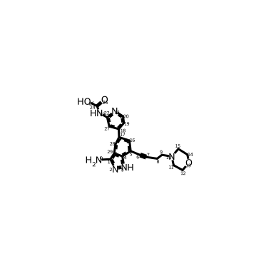 Nc1n[nH]c2c(C#CCCN3CCOCC3)cc(-c3ccnc(NC(=O)O)c3)cc12